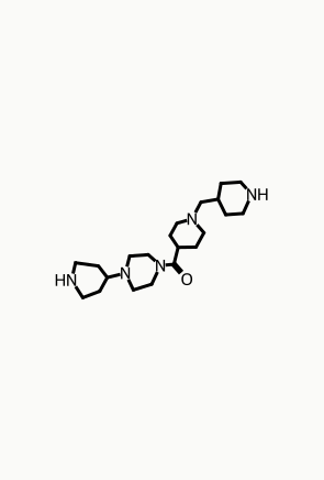 O=C(C1CCN(CC2CCNCC2)CC1)N1CCN(C2CCNCC2)CC1